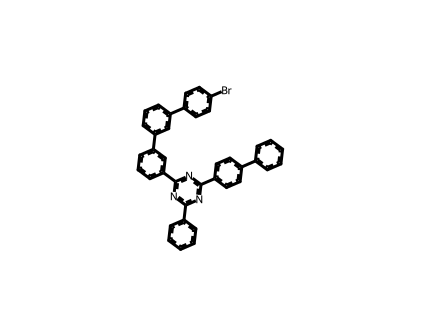 Brc1ccc(-c2cccc(-c3cccc(-c4nc(-c5ccccc5)nc(-c5ccc(-c6ccccc6)cc5)n4)c3)c2)cc1